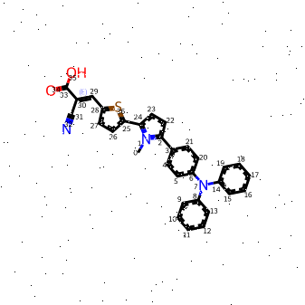 Cn1c(-c2ccc(N(c3ccccc3)c3ccccc3)cc2)ccc1-c1ccc(/C=C(\C#N)C(=O)O)s1